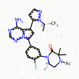 CC(=O)N1C[C@H](C)N(c2cc(-c3cc(-c4ccnn4[C@@H](C)C(F)(F)F)c4c(N)ncnn34)ccc2F)C(=O)C1(C)C